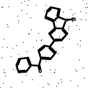 CCn1c2ccccc2c2cc(-c3ccc(C(=O)c4ccccc4)cc3)ccc21